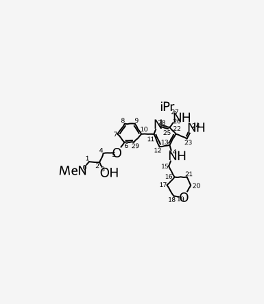 CNCC(O)COc1cccc(-c2cc(NCC3CCOCC3)c(C=N)c(NC(C)C)n2)c1